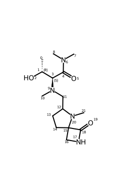 C[C@@H](O)[C@@H](C(=O)N(C)C)N(C)CC1CCC2(CNC2=O)N1C